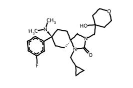 CN(C)[C@]1(c2cccc(F)c2)CC[C@]2(CC1)CN(CC1(O)CCOCC1)C(=O)N2CC1CC1